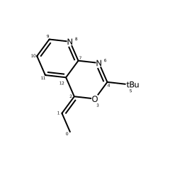 CC=C1OC(C(C)(C)C)=Nc2ncccc21